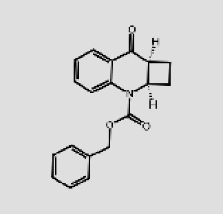 O=C1c2ccccc2N(C(=O)OCc2ccccc2)[C@@H]2CC[C@H]12